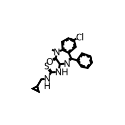 CN1C(=O)C(NC(=S)NCC2CC2)N=C(c2ccccc2)c2cc(Cl)ccc21